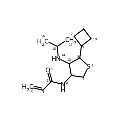 C=CC(=O)NC1CSC(C2CCC2)C1NC(C)C